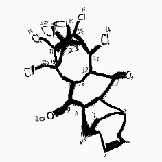 O=C1C2C3C=CC(C3)C2C(=O)C2C1C1(Cl)C(Cl)=C(Cl)C2(Cl)C1(Cl)Cl